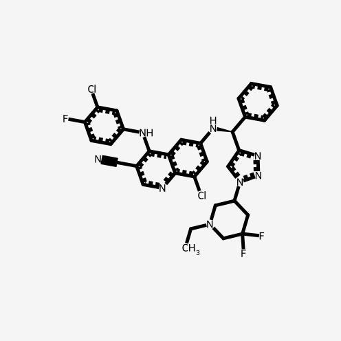 CCN1CC(n2cc([C@@H](Nc3cc(Cl)c4ncc(C#N)c(Nc5ccc(F)c(Cl)c5)c4c3)c3ccccc3)nn2)CC(F)(F)C1